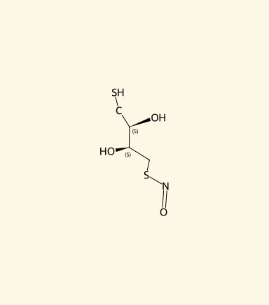 O=NSC[C@@H](O)[C@H](O)CS